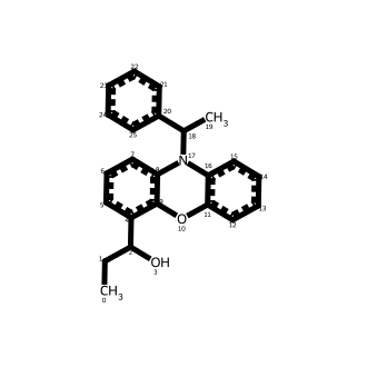 CCC(O)c1cccc2c1Oc1ccccc1N2C(C)c1ccccc1